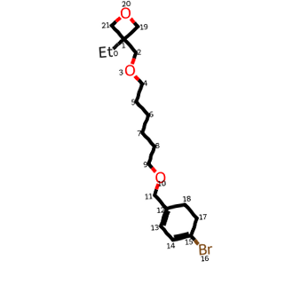 CCC1(COCCCCCCOCC2=CC=C(Br)CC2)COC1